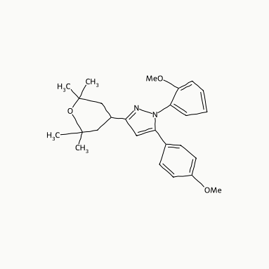 COc1ccc(-c2cc(C3CC(C)(C)OC(C)(C)C3)nn2-c2ccccc2OC)cc1